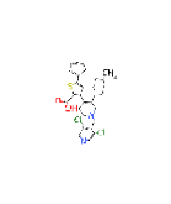 CC1CCC(C2=C(c3cc(-c4ccccc4)sc3C(=O)O)CCN(Cc3c(Cl)cncc3Cl)C2)CC1